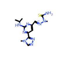 CC(C)Nc1nc(/C=N/N(C)C(N)=S)cc(-c2nncn2C)n1